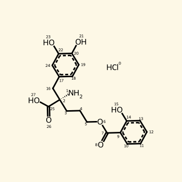 Cl.N[C@@](CCCOC(=O)c1ccccc1O)(Cc1ccc(O)c(O)c1)C(=O)O